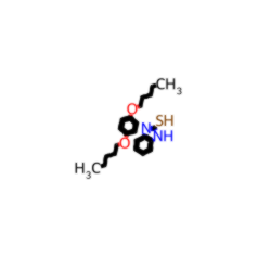 CCCCCOc1ccc(OCCCCC)cc1.Sc1nc2ccccc2[nH]1